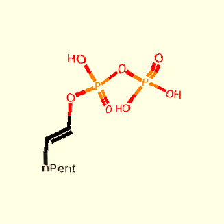 CCCCCC=COP(=O)(O)OP(=O)(O)O